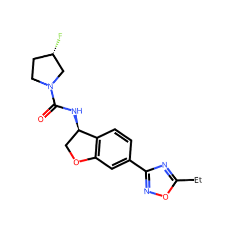 CCc1nc(-c2ccc3c(c2)OC[C@H]3NC(=O)N2CC[C@H](F)C2)no1